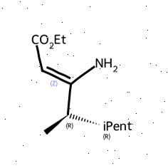 CCC[C@@H](C)[C@@H](C)/C(N)=C/C(=O)OCC